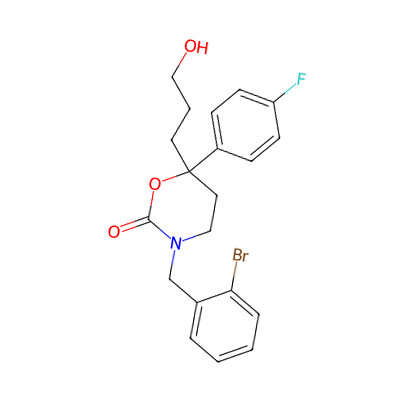 O=C1OC(CCCO)(c2ccc(F)cc2)CCN1Cc1ccccc1Br